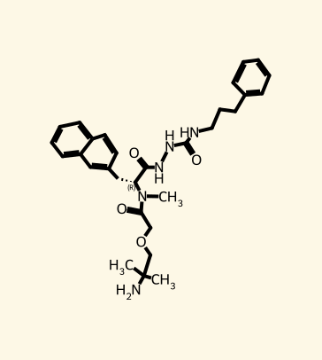 CN(C(=O)COCC(C)(C)N)[C@H](Cc1ccc2ccccc2c1)C(=O)NNC(=O)NCCCc1ccccc1